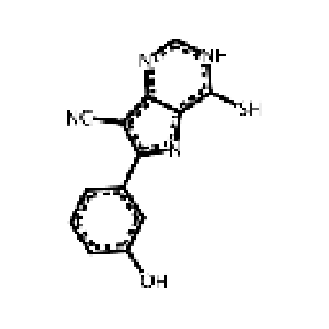 N#Cc1c(-c2cccc(O)c2)nc2c(S)[nH]cnc1-2